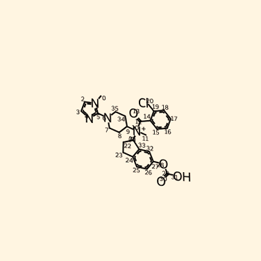 Cn1ccnc1N1CCC([N+](C)(C(=O)c2ccccc2Cl)[C@@H]2CCc3ccc(OC(=O)O)cc32)CC1